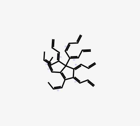 C=C/C=C\C(=C/C=C)C1(C(/C=C\C)=C/C=C)C(/C=C\C)=C(/C=C\C)C(=C/C=C)/C1=C\C=C